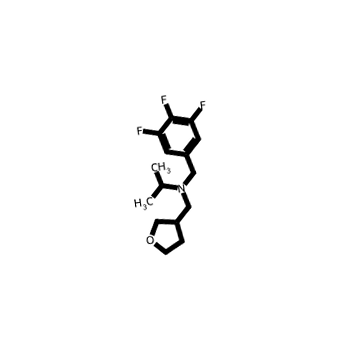 CC(C)N(Cc1cc(F)c(F)c(F)c1)CC1CCOC1